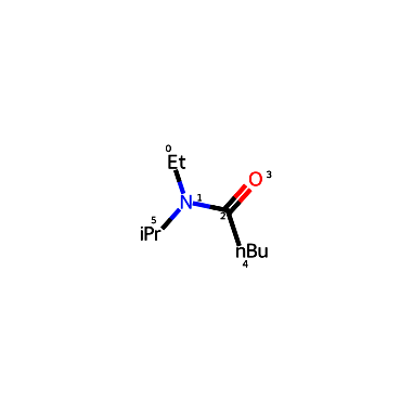 [CH2]CN(C(=O)CCCC)C(C)C